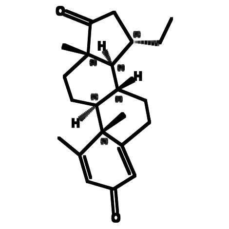 CC[C@H]1CC(=O)[C@@]2(C)CC[C@H]3[C@@H](CCC4=CC(=O)C=C(C)[C@@]43C)[C@H]12